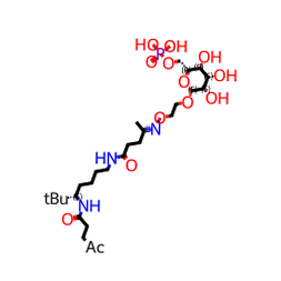 CC(=O)CCC(=O)N[C@@H](CCCCNC(=O)CC/C(C)=N/OCCO[C@H]1O[C@H](COP(=O)(O)O)[C@@H](O)[C@H](O)[C@@H]1O)C(C)(C)C